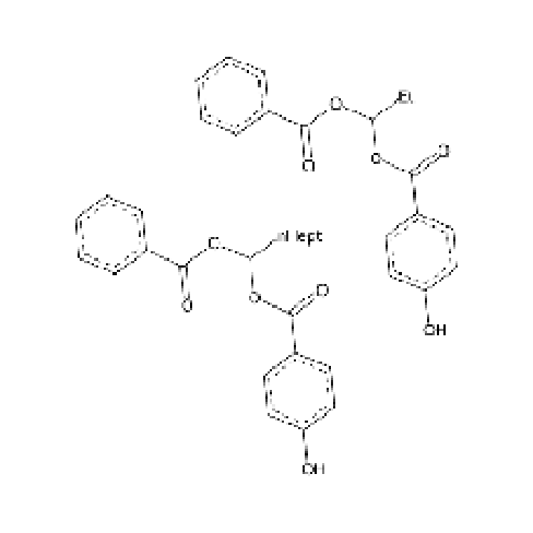 CCC(OC(=O)c1ccccc1)OC(=O)c1ccc(O)cc1.CCCCCCCC(OC(=O)c1ccccc1)OC(=O)c1ccc(O)cc1